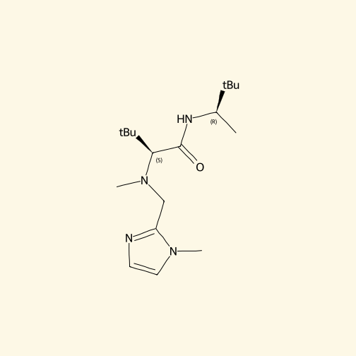 C[C@@H](NC(=O)[C@@H](N(C)Cc1nccn1C)C(C)(C)C)C(C)(C)C